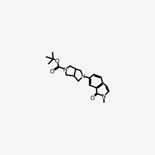 Cn1ccc2ccc(N3CC4CN(C(=O)OC(C)(C)C)CC4C3)cc2c1=O